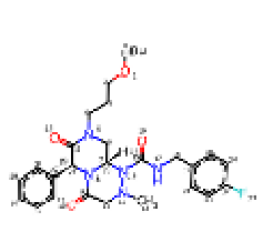 CCCCOCCCN1C[C@H]2N(C(=O)CN(C)N2C(=O)NCc2ccc(F)cc2)[C@@H](c2ccccc2)C1=O